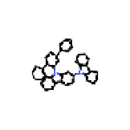 C1=CC(c2ccc(-c3ccccc3)cc2-n2c3ccccc3c3ccc(-n4c5ccccc5c5ccccc54)cc32)=CCC1